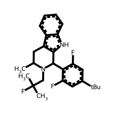 CC1Cc2c([nH]c3ccccc23)C(c2c(F)cc(C(C)(C)C)cc2F)N1CC(C)(C)F